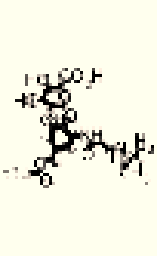 C[SH](C)NCCC(=O)Nc1cc(COC(=O)C(C)(C)C)ccc1O[C@H]1O[C@H](C(=O)O)[C@@H](O)[C@H](O)[C@H]1O